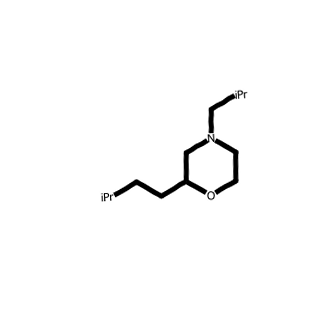 CC(C)CCC1CN(CC(C)C)CCO1